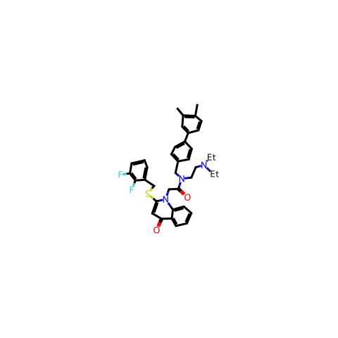 CCN(CC)CCN(Cc1ccc(-c2ccc(C)c(C)c2)cc1)C(=O)Cn1c(SCc2cccc(F)c2F)cc(=O)c2ccccc21